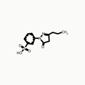 CCCC1=NN(c2cccc(S(=O)(=O)O)c2)C(=O)C1